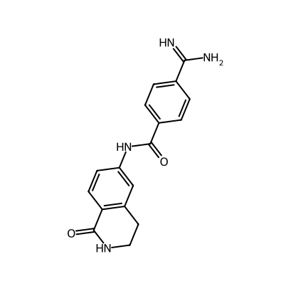 N=C(N)c1ccc(C(=O)Nc2ccc3c(c2)CCNC3=O)cc1